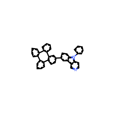 c1ccc(-n2c3ccncc3c3cc(-c4ccc5c(c4)-c4ccccc4-c4ccccc4-c4ccccc4-5)ccc32)cc1